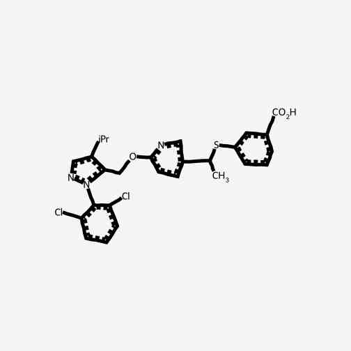 CC(C)c1cnn(-c2c(Cl)cccc2Cl)c1COc1ccc(C(C)Sc2cccc(C(=O)O)c2)cn1